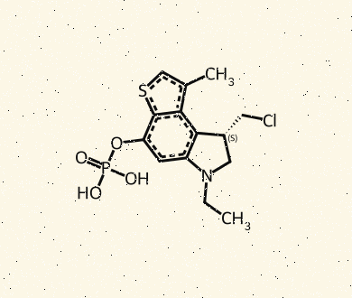 CCN1C[C@@H](CCl)c2c1cc(OP(=O)(O)O)c1scc(C)c21